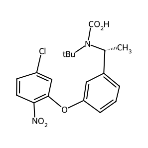 C[C@H](c1cccc(Oc2cc(Cl)ccc2[N+](=O)[O-])c1)N(C(=O)O)C(C)(C)C